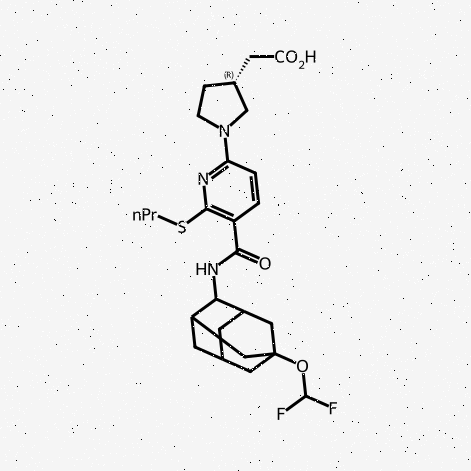 CCCSc1nc(N2CC[C@H](CC(=O)O)C2)ccc1C(=O)NC1C2CC3CC1CC(OC(F)F)(C3)C2